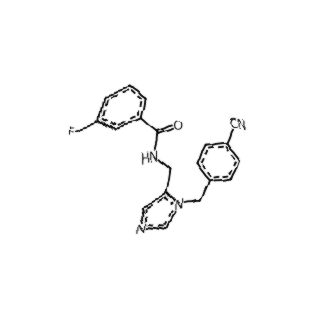 N#Cc1ccc(Cn2cncc2CNC(=O)c2cccc(F)c2)cc1